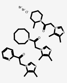 Cc1sc[n+](CC(=O)N2CCCCC2C)c1C.Cc1sc[n+](CC(=O)N2CCCCCCC2)c1C.Cc1sc[n+](CC(=O)c2ccccn2)c1C.[Br-].[Br-].[Cl-]